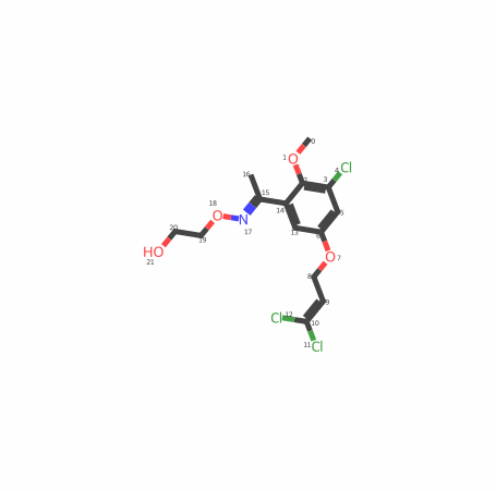 COc1c(Cl)cc(OCC=C(Cl)Cl)cc1C(C)=NOCCO